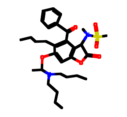 CCCCc1c(OC(C)N(CCCC)CCCC)cc2c(c1C(=O)c1ccccc1)C(N(C)S(C)(=O)=O)C(=O)O2